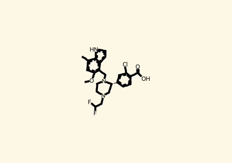 COc1cc(C)c2[nH]ccc2c1CN1CCN(CC(F)F)C[C@H]1c1ccc(C(=O)O)c(Cl)c1